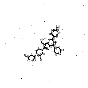 CC(C)Cn1c(N2CCN(C(=O)C[C@H](C)O)[C@H](C)C2)nc2c(N3CCOCC3)nc(-c3cnc(N)nc3)nc21